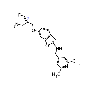 Cc1cc(CNc2nc3ccc(OC/C(=C/F)CN)cc3o2)cc(C)n1